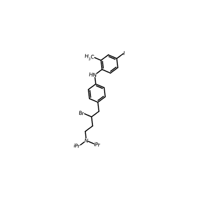 Cc1cc(I)ccc1Nc1ccc(CC(Br)CCN(C(C)C)C(C)C)cc1